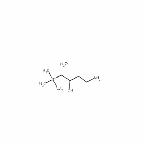 C[N+](C)(C)CC(O)CCN.O